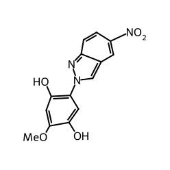 COc1cc(O)c(-n2cc3cc([N+](=O)[O-])ccc3n2)cc1O